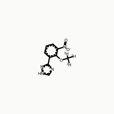 [2H]C([2H])([2H])Oc1c(-c2nc[nH]n2)cccc1[N+](=O)[O-]